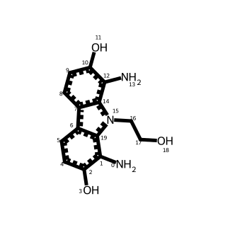 Nc1c(O)ccc2c3ccc(O)c(N)c3n(CCO)c12